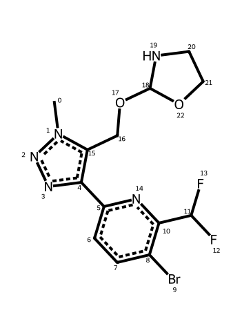 Cn1nnc(-c2ccc(Br)c(C(F)F)n2)c1COC1NCCO1